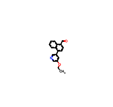 CCOc1cncc(-c2ccc(C=O)c3ccccc23)c1